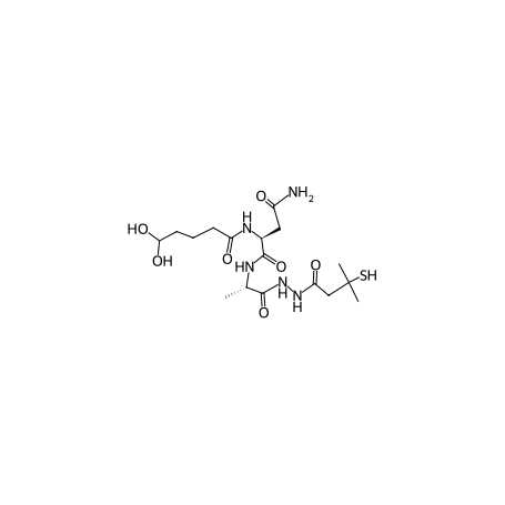 C[C@H](NC(=O)[C@H](CC(N)=O)NC(=O)CCCC(O)O)C(=O)NNC(=O)CC(C)(C)S